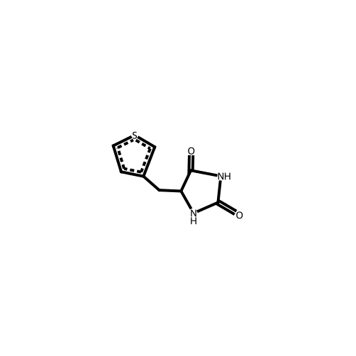 O=C1NC(=O)C(Cc2ccsc2)N1